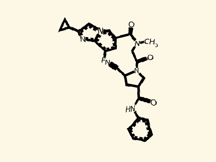 CN(CC(=O)N1CC(C(=O)Nc2ccccc2)CC1C#N)C(=O)c1cc(F)c2nc(C3CC3)cn2c1